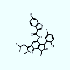 Cn1nc2c3c(c(NC(=O)c4csc5cc(F)ccc45)cc2c1CC(F)F)C(c1cc(F)ccc1Cl)NC3=O